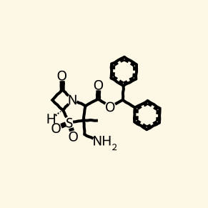 CC1(CN)C(C(=O)OC(c2ccccc2)c2ccccc2)N2C(=O)C[C@@H]2S1(=O)=O